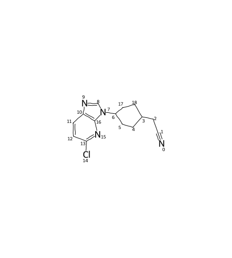 N#CCC1CCC(n2cnc3ccc(Cl)nc32)CC1